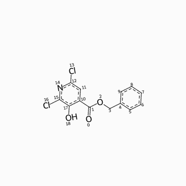 O=C(OCc1ccccc1)c1cc(Cl)nc(Cl)c1O